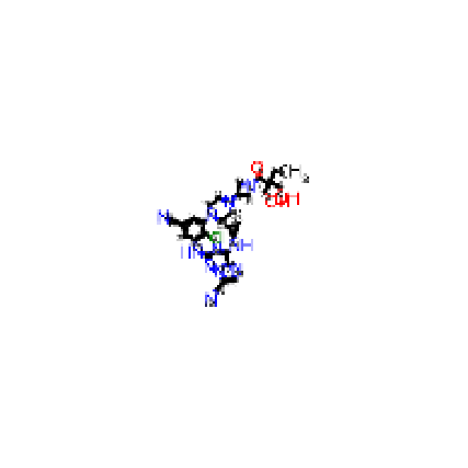 CCC(CO)(CO)C(=O)N1CC(N2CCN(c3cc(C#N)cc(Nc4nc(NC5CC5)c5ncc(C#N)n5n4)c3Cl)CC2)C1